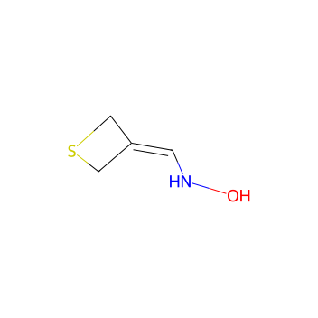 ONC=C1CSC1